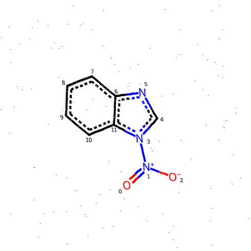 O=[N+]([O-])n1cnc2ccccc21